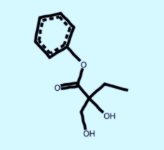 CCC(O)(CO)C(=O)Oc1ccccc1